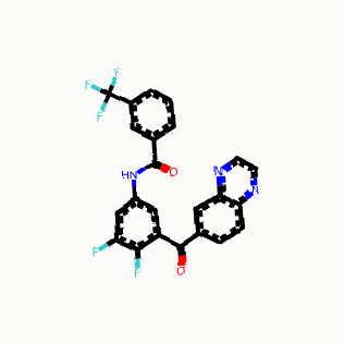 O=C(Nc1cc(F)c(F)c(C(=O)c2ccc3nccnc3c2)c1)c1cccc(C(F)(F)F)c1